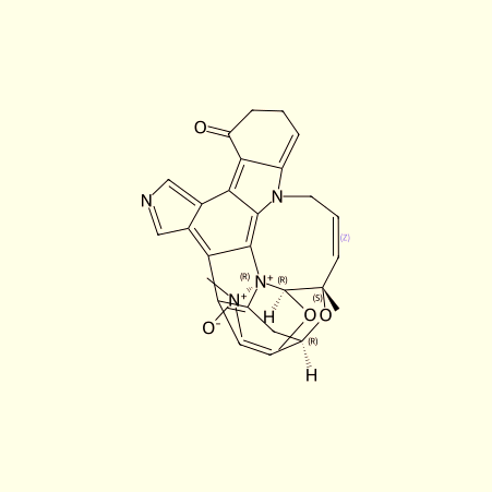 CO[C@@H]1[C@]2(C)/C=C\Cn3c4c(c5c6c(c7c(c53)[N@+]1([N+](C)(C)[O-])C1=C7C=C[C@@H](C1)O2)C=NC=6)C(=O)CCC=4